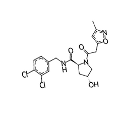 Cc1cc(CC(=O)N2C[C@H](O)C[C@H]2C(=O)NCc2ccc(Cl)c(Cl)c2)on1